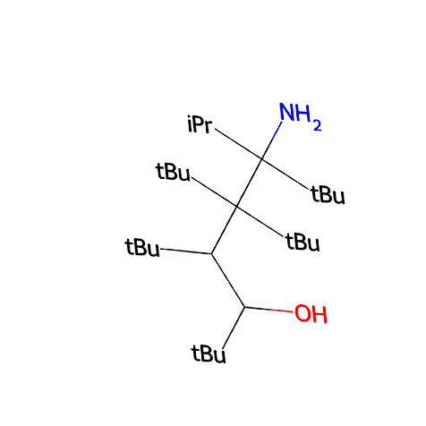 CC(C)C(N)(C(C)(C)C)C(C(C(O)C(C)(C)C)C(C)(C)C)(C(C)(C)C)C(C)(C)C